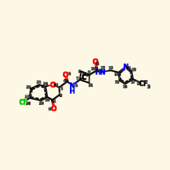 O=C1CC(C(=O)NC23CC(C(=O)NCc4ccc(C(F)(F)F)cn4)(C2)C3)Oc2ccc(Cl)cc21